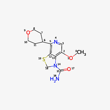 COc1cnc(C2CCOCC2)c2c1N(C(N)=O)[CH]S2